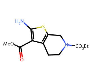 CCOC(=O)N1CCc2c(sc(N)c2C(=O)OC)C1